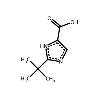 CC(C)(C)c1ncc(C(=O)O)[nH]1